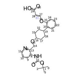 CC(C)(C)OC(=O)Nc1cccnc1COC1CCC(c2ccccc2O/C=C/C(=O)O)CC1